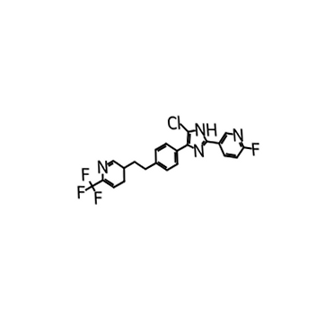 Fc1ccc(-c2nc(-c3ccc(CCC4C=NC(C(F)(F)F)=CC4)cc3)c(Cl)[nH]2)cn1